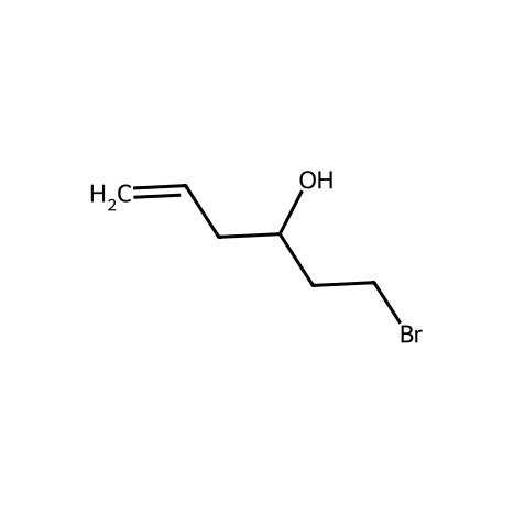 C=CCC(O)CCBr